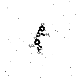 COc1cc(Nc2nc(Cc3cccc(C)c3)n(CCN)n2)ccc1-n1cnc(C)c1